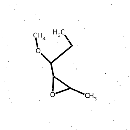 CCC(OC)C1OC1C